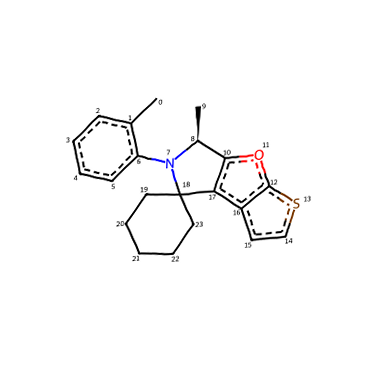 Cc1ccccc1N1[C@@H](C)c2oc3sccc3c2C12CCCCC2